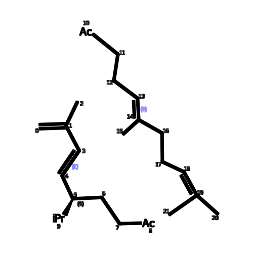 C=C(C)/C=C/[C@@H](CCC(C)=O)C(C)C.CC(=O)CC/C=C(\C)CCC=C(C)C